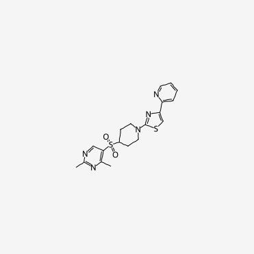 Cc1ncc(S(=O)(=O)C2CCN(c3nc(-c4ccccn4)cs3)CC2)c(C)n1